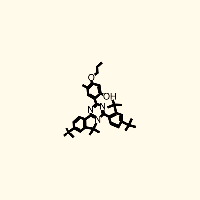 CCCOc1cc(O)c(-c2nc(-c3ccc(C(C)(C)C)cc3C(C)(C)C)nc(-c3ccc(C(C)(C)C)cc3C(C)(C)C)n2)cc1C